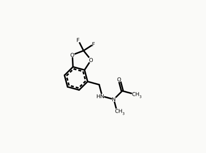 CC(=O)N(C)NCc1cccc2c1OC(F)(F)O2